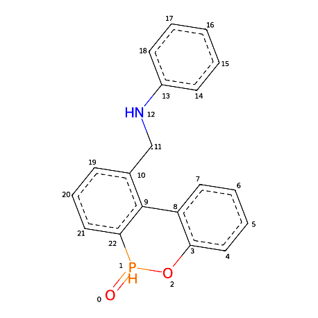 O=[PH]1Oc2ccccc2-c2c([CH]Nc3ccccc3)cccc21